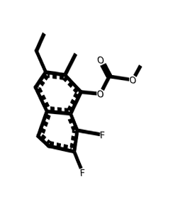 CCc1cc2ccc(F)c(F)c2c(OC(=O)OC)c1C